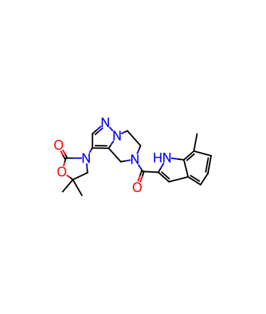 Cc1cccc2cc(C(=O)N3CCn4ncc(N5CC(C)(C)OC5=O)c4C3)[nH]c12